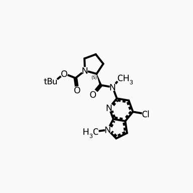 CN(C(=O)[C@@H]1CCCN1C(=O)OC(C)(C)C)c1cc(Cl)c2ccn(C)c2n1